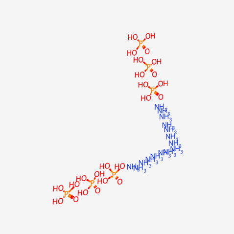 N.N.N.N.N.N.N.N.N.N.N.N.N.N.N.O=P(O)(O)O.O=P(O)(O)O.O=P(O)(O)O.O=P(O)(O)O.O=P(O)(O)O.O=P(O)(O)O